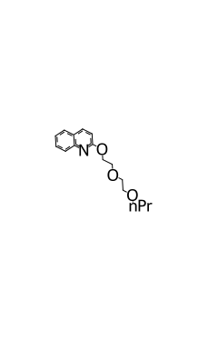 CCCOCCOCCOc1ccc2ccccc2n1